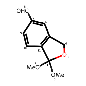 COC1(OC)OCc2cc(C=O)ccc21